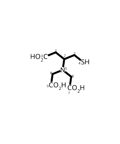 O=C(O)CC(CS)N(CC(=O)O)CC(=O)O